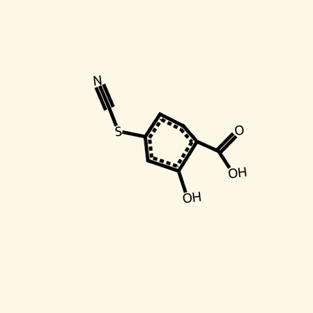 N#CSc1ccc(C(=O)O)c(O)c1